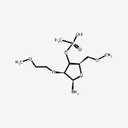 B[C@@H]1O[C@H](COC)C(OP(C)(=O)O)[C@@H]1OCCOC